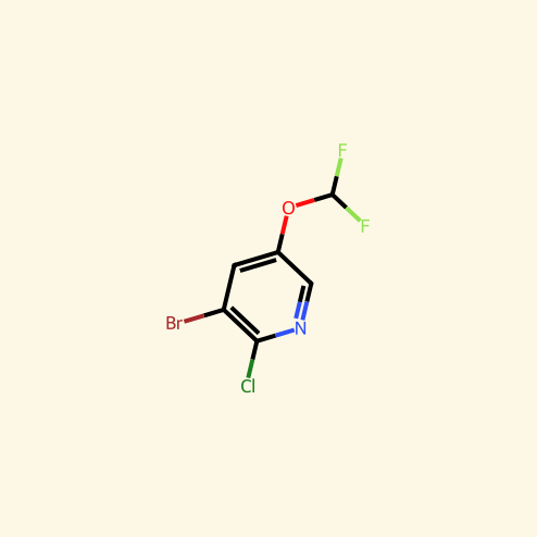 FC(F)Oc1cnc(Cl)c(Br)c1